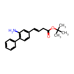 CC(C)(C)OC(=O)CC=Cc1ccc(-c2ccccc2)c(N)c1